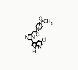 CC(=O)N1CCN(C(=O)Cc2cncc(-c3c[nH]c4ncc(Cl)cc34)n2)CC1